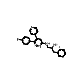 NC(CNc1cc(-c2ccncc2)c(-c2ccc(F)cc2)nn1)Cc1ccccc1